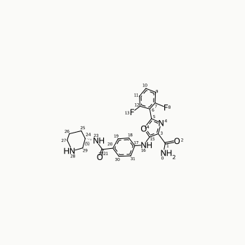 NC(=O)c1nc(-c2c(F)cccc2F)oc1Nc1ccc(C(=O)N[C@H]2CCCNC2)cc1